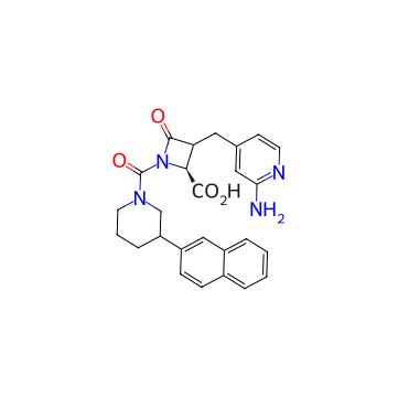 Nc1cc(CC2C(=O)N(C(=O)N3CCCC(c4ccc5ccccc5c4)C3)[C@@H]2C(=O)O)ccn1